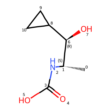 C[C@H](NC(=O)O)[C@H](O)C1CC1